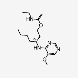 C=C(NCC)OCC[C@H](CCCC)Nc1ncncc1OC